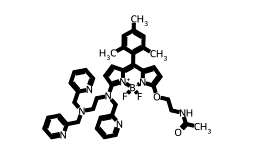 CC(=O)NCCOc1ccc2n1[B-](F)(F)[N+]1=C(N(CCN(Cc3ccccn3)Cc3ccccn3)Cc3ccccn3)C=CC1=C2c1c(C)cc(C)cc1C